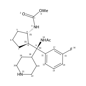 COC(=O)N[C@H]1CCC[C@@H]1[C@](NC(C)=O)(c1cccc(F)c1)C1CCNCC1